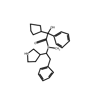 CN(C(=O)C(O)(c1ccccc1)C1CCCC1)C(Cc1ccccc1)C1CCNC1